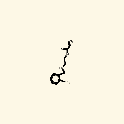 Bc1ccccc1CNCCNC(=O)C=C